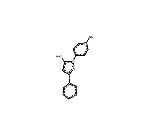 CSc1cc(-c2cccnc2)nn1-c1ccc([N+](=O)[O-])cc1